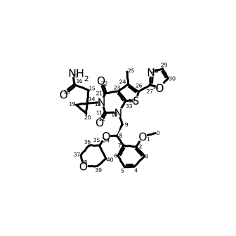 COc1ccccc1[C@H](Cn1c(=O)n(C2(CC(N)=O)CC2)c(=O)c2c(C)c(-c3ncco3)sc21)OC1CCOCC1